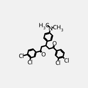 CN(C)c1ccc(C(CC(=O)c2ccc(Cl)c(Cl)c2)CC(=O)c2ccc(Cl)c(Cl)c2)cc1